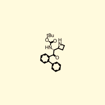 CC(C)(C)OC(=O)N[C@@H](C(=O)c1ccccc1-c1ccccc1)C1CCN1